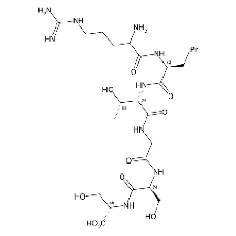 CC(C)C[C@H](NC(=O)C(N)CCCNC(=N)N)C(=O)N[C@H](C(=O)NCC(=O)N[C@@H](CO)C(=O)N[C@@H](CO)C(=O)O)[C@H](C)O